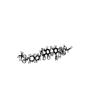 CCN(C)S(=O)(=O)Nc1ccc(F)c(Oc2ccc3ncn(C4CCC5(CCN(C(=O)OC(C)(C)C)CC5)C4)c(=O)c3c2Cl)c1C#N